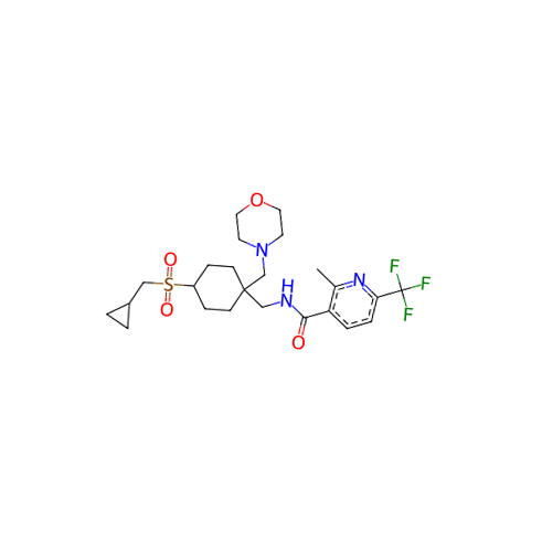 Cc1nc(C(F)(F)F)ccc1C(=O)NCC1(CN2CCOCC2)CCC(S(=O)(=O)CC2CC2)CC1